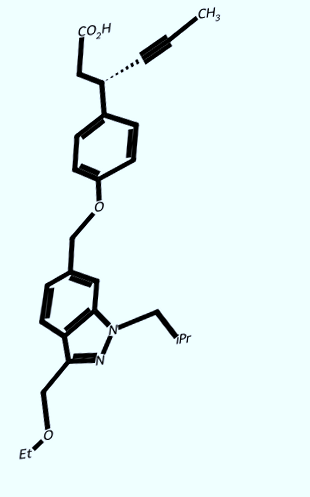 CC#C[C@@H](CC(=O)O)c1ccc(OCc2ccc3c(COCC)nn(CC(C)C)c3c2)cc1